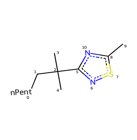 CCCCCCC(C)(C)c1nsc(C)n1